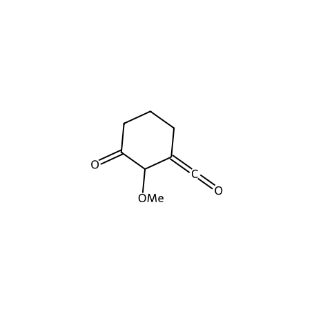 COC1C(=O)CCCC1=C=O